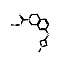 CN1CC(Oc2ccc3c(c2)CN(C(=O)OC(C)(C)C)CC3)C1